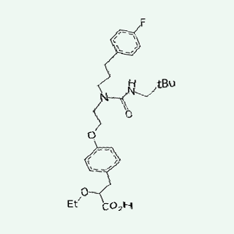 CCOC(Cc1ccc(OCCN(CCCc2ccc(F)cc2)C(=O)NCC(C)(C)C)cc1)C(=O)O